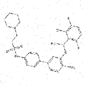 CC(Oc1cc(-c2ccc(NS(=O)(=O)CCN3CCCCC3)cc2)cnc1N)c1c(F)ccc(F)c1Cl